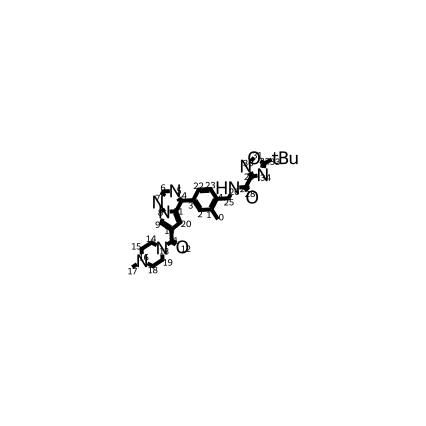 Cc1cc(-c2ncnn3cc(C(=O)N4CCN(C)CC4)cc23)ccc1CNC(=O)c1noc(C(C)(C)C)n1